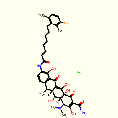 Cc1ccc(P)c(C)c1CCCCCCCC(=O)Nc1ccc2c(c1O)C(=O)C1=C(O)[C@]3(O)C(=O)C(C(N)=O)=C(O)[C@@H](N(C)C)[C@@H]3[C@@H](O)[C@@H]1[C@H]2C.Cl